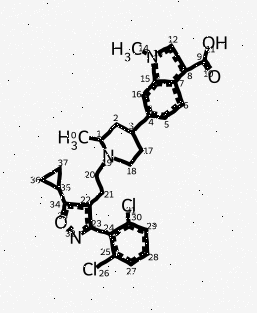 CC1CC(c2ccc3c(C(=O)O)cn(C)c3c2)CCN1CCc1c(-c2c(Cl)cccc2Cl)noc1C1CC1